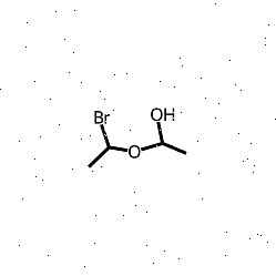 CC(O)OC(C)Br